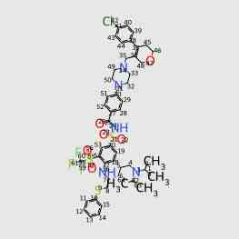 CC(C)N(CCC[C@H](CSc1ccccc1)Nc1ccc(S(=O)(=O)NC(=O)c2ccc(N3CCN(CC4=C(c5ccc(Cl)cc5)CCOC4)CC3)cc2)cc1S(=O)(=O)C(F)(F)F)C(C)C